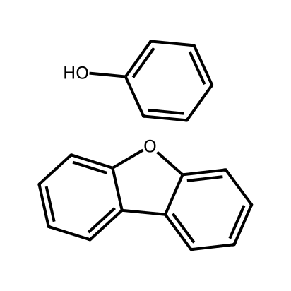 Oc1ccccc1.c1ccc2c(c1)oc1ccccc12